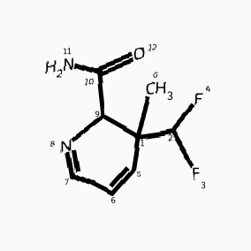 CC1(C(F)F)C=CC=NC1C(N)=O